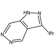 CC(C)c1n[nH]c2cnncc12